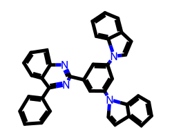 c1ccc(-c2nc(-c3cc(-n4ccc5ccccc54)cc(-n4ccc5ccccc54)c3)nc3ccccc23)cc1